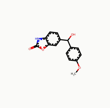 COc1ccc(C(O)c2ccc3[nH]c(=O)oc3c2)cc1